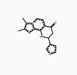 Cc1nc2c3c(ccn2c1C)C(=O)CC(c1ccoc1)N3